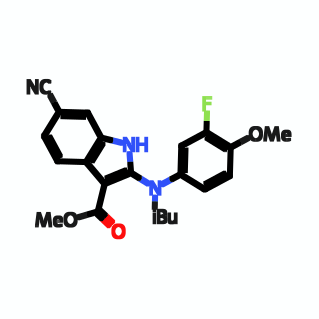 CCC(C)N(c1ccc(OC)c(F)c1)c1[nH]c2cc(C#N)ccc2c1C(=O)OC